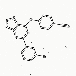 N#Cc1ccc(Oc2nc(-c3cccc(Br)c3)nc3ccsc23)cc1